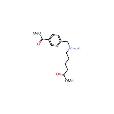 CCCN(CCCCC(=O)OC)Cc1ccc(C(=O)OC)cc1